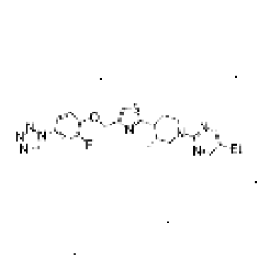 CCc1cnc(N2CC[C@@H](c3nc(COc4ccc(-n5cnnn5)cc4F)cs3)[C@@H](C)C2)nc1